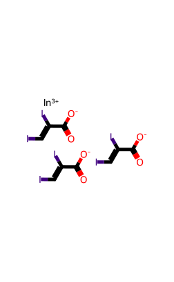 O=C([O-])/C(I)=C/I.O=C([O-])/C(I)=C/I.O=C([O-])/C(I)=C/I.[In+3]